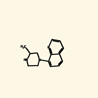 CC1CN(c2cccc3cccnc23)CCN1